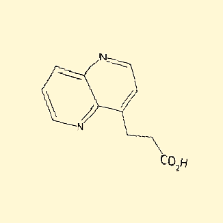 O=C(O)CCc1ccnc2cccnc12